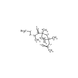 CCCC(C)C(=O)C(C)(C)CC(C)(C)CC(C)=O